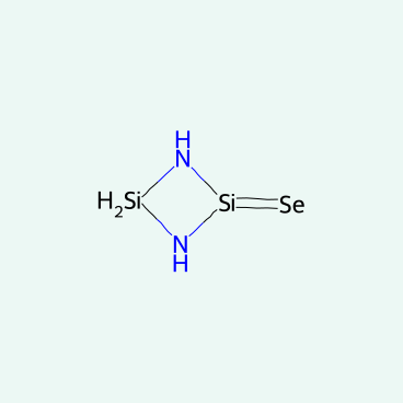 [Se]=[Si]1N[SiH2]N1